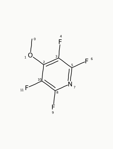 COc1c(F)c(F)nc(F)c1F